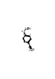 C#Cc1ccc(OC(C)(C)C)cc1